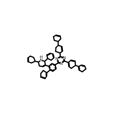 C1=CCCC(c2ccc(-c3nc(C4=CCC(C5=CCCC=C5)C=C4)nc(C4C=CC(C5CC=CCC5)CC4)n3)cc2C2=CCC(C3CC=CCC3)NC2C2C=CC=CC2)=C1